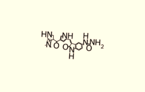 CN(C)[C@@H]1CNCC1C(=O)c1c[nH]c(C=C2C(=O)Nc3ccc(NC(N)=O)cc32)c1